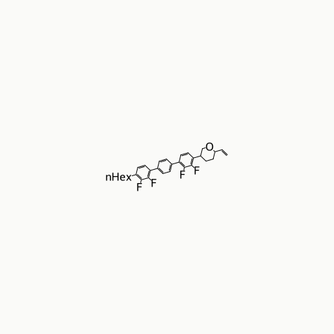 C=CC1CCC(c2ccc(-c3ccc(-c4ccc(CCCCCC)c(F)c4F)cc3)c(F)c2F)CO1